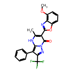 COc1cccc2oc(-c3c(C)[nH]c4c(-c5ccccc5)c(C(F)(F)F)nn4c3=O)nc12